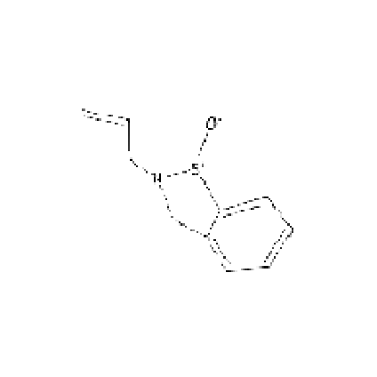 C=CCN1Cc2ccccc2[S+]1[O-]